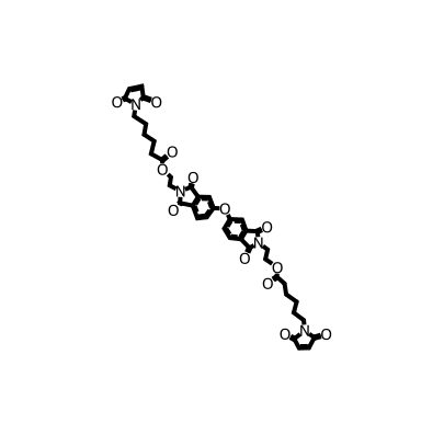 O=C(CCCCCN1C(=O)C=CC1=O)OCCN1C(=O)c2ccc(Oc3ccc4c(c3)C(=O)N(CCOC(=O)CCCCCN3C(=O)C=CC3=O)C4=O)cc2C1=O